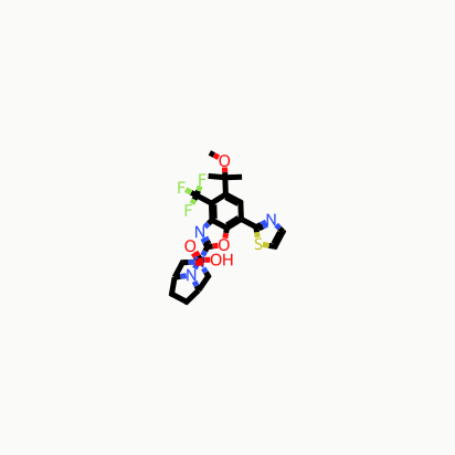 COC(C)(C)c1cc(-c2nccs2)c2oc(N3CC4CCC(C3)N4C(=O)O)nc2c1C(F)(F)F